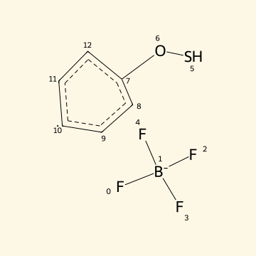 F[B-](F)(F)F.SOc1cc[c]cc1